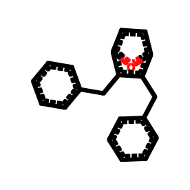 c1ccc(Cc2c(Cc3ccccc3)c3ccc2o3)cc1